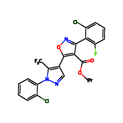 CC(C)OC(=O)c1c(-c2c(F)cccc2Cl)noc1-c1cnn(-c2ccccc2Cl)c1C(F)(F)F